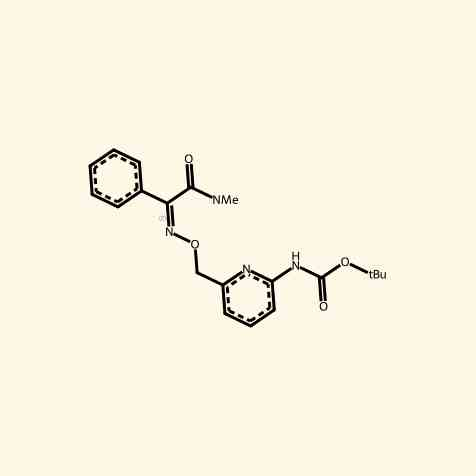 CNC(=O)/C(=N\OCc1cccc(NC(=O)OC(C)(C)C)n1)c1ccccc1